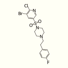 O=S(=O)(c1cnc(Cl)c(Br)c1)N1CCN(CCc2ccc(F)cc2)CC1